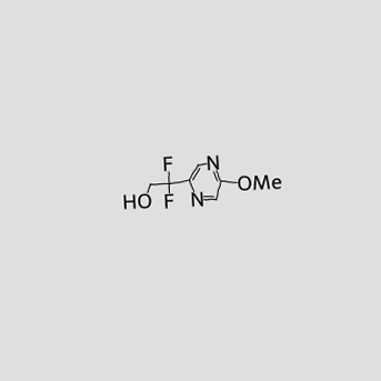 COc1cnc(C(F)(F)CO)cn1